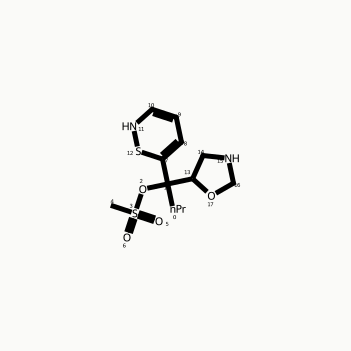 CCCC(OS(C)(=O)=O)(C1=CC=CNS1)C1CNCO1